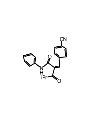 CC(C)C(=O)C(=Cc1ccc(C#N)cc1)C(=O)Nc1ccccc1